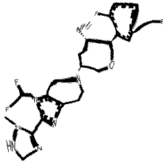 CN1NCN=C1c1nc2c(n1C(F)F)CN([C@H]1CO[C@H](c3cc(F)ccc3F)[C@@H](N)C1)C2